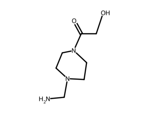 NCN1CCN(C(=O)CO)CC1